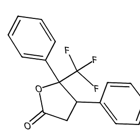 O=C1CC(c2ccccc2)C(c2ccccc2)(C(F)(F)F)O1